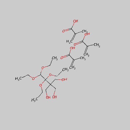 C=C(C)C(=O)O.C=C(C)C(=O)O.C=C(C)C(=O)O.CCOC(OCC)C(OCC)(OCC)C(CO)(CO)CO